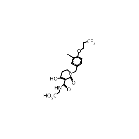 O=C(O)CNC(=O)C1=C(O)CCN(Cc2ccc(OCCC(F)(F)F)c(F)c2)C1=O